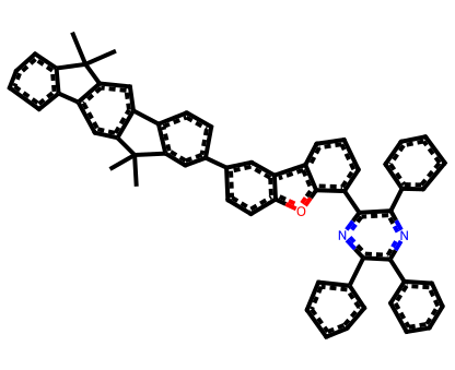 CC1(C)c2ccccc2-c2cc3c(cc21)-c1ccc(-c2ccc4oc5c(-c6nc(-c7ccccc7)c(-c7ccccc7)nc6-c6ccccc6)cccc5c4c2)cc1C3(C)C